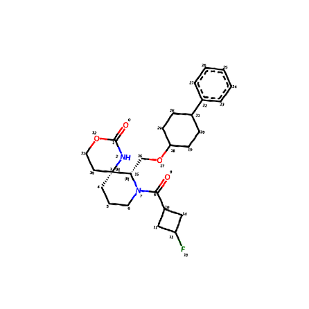 O=C1N[C@]2(CCCN(C(=O)C3CC(F)C3)[C@H]2COC2CCC(c3ccccc3)CC2)CCO1